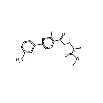 COC(=O)[C@H](C)NCC(=O)c1ccc(-c2cccc(N)c2)cc1C